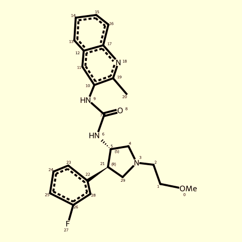 COCCN1C[C@@H](NC(=O)Nc2cc3ccccc3nc2C)[C@H](c2cccc(F)c2)C1